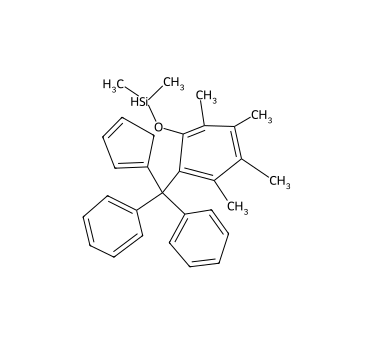 Cc1c(C)c(C)c(C(C2=CC=CC2)(c2ccccc2)c2ccccc2)c(O[SiH](C)C)c1C